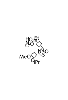 CCN(C(=O)OC1CCCN1)c1ccc(CN2N=C(c3ccc(OC)c(OC(C)C)c3)CSC2=O)cc1